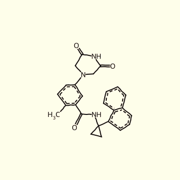 Cc1ccc(N2CC(=O)NC(=O)C2)cc1C(=O)NC1(c2cccc3ccccc23)CC1